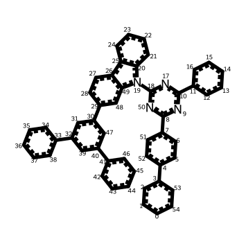 c1ccc(-c2ccc(-c3nc(-c4ccccc4)nc(-n4c5ccccc5c5ccc(-c6cc(-c7ccccc7)cc(-c7ccccc7)c6)cc54)n3)cc2)cc1